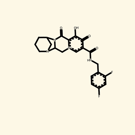 O=C(NCc1ccc(F)cc1F)c1cn2c(c(O)c1=O)C(=O)N1C3CCCN(C3)C1C2